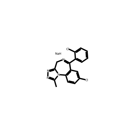 Cc1nnc2n1-c1ccc(Cl)cc1C(c1ccccc1Cl)=NC2.[NaH]